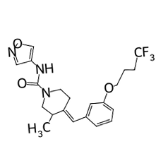 CC1CN(C(=O)Nc2cnoc2)CCC1=Cc1cccc(OCCCC(F)(F)F)c1